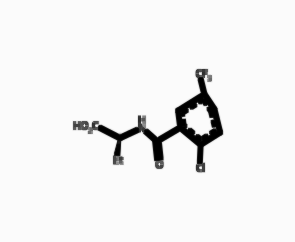 CC[C@H](NC(=O)c1cc(C(F)(F)F)ccc1Cl)C(=O)O